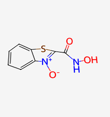 O=C(NO)c1sc2ccccc2[n+]1[O-]